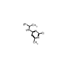 Cc1cc(NC(C)C(C)C)nc(Cl)n1